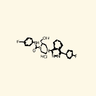 Cl.O=C(Nc1ccc(F)cc1)N1CCN(c2nnc(-c3ccc(F)cc3)c3ccccc23)C[C@@H]1CO